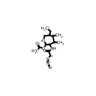 CCC1COC(OC(C)=O)C(NC(=O)CN=[N+]=[N-])C(C)C1C